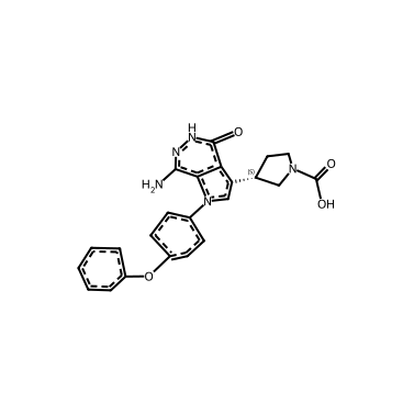 Nc1n[nH]c(=O)c2c([C@@H]3CCN(C(=O)O)C3)cn(-c3ccc(Oc4ccccc4)cc3)c12